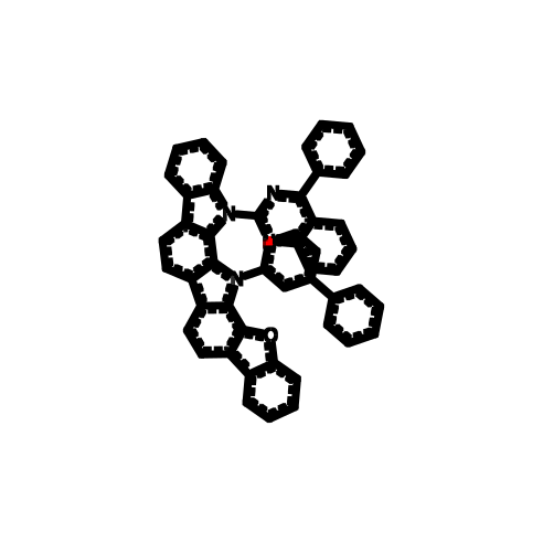 c1ccc(-c2cccc(-n3c4c(ccc5c6ccccc6oc54)c4ccc5c6ccccc6n(-c6nc(-c7ccccc7)c7ccccc7n6)c5c43)c2)cc1